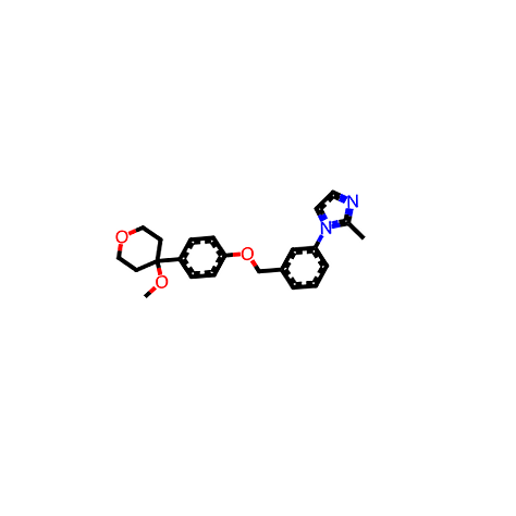 COC1(c2ccc(OCc3cccc(-n4ccnc4C)c3)cc2)CCOCC1